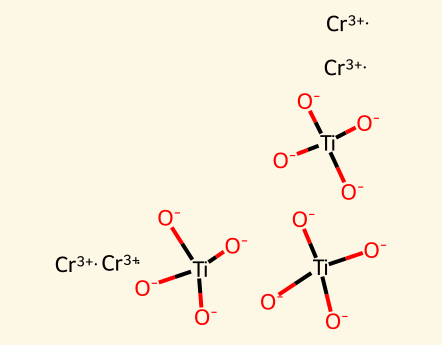 [Cr+3].[Cr+3].[Cr+3].[Cr+3].[O-][Ti]([O-])([O-])[O-].[O-][Ti]([O-])([O-])[O-].[O-][Ti]([O-])([O-])[O-]